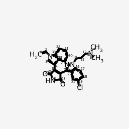 C=Cn1cc(C2=C(c3nn(CCCN(C)C)c4ccc(Cl)cc34)C(=O)NC2=O)c2ccccc21